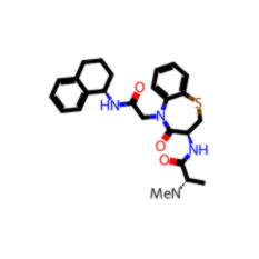 CN[C@@H](C)C(=O)N[C@@H]1CSc2ccccc2N(CC(=O)N[C@@H]2CCCc3ccccc32)C1=O